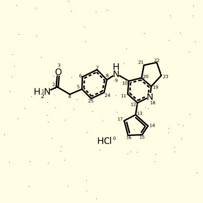 Cl.NC(=O)Cc1ccc(Nc2cc(C3=C=CC=C3)nc3c2CCC3)cc1